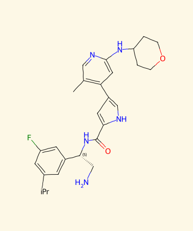 Cc1cnc(NC2CCOCC2)cc1-c1c[nH]c(C(=O)N[C@H](CN)c2cc(F)cc(C(C)C)c2)c1